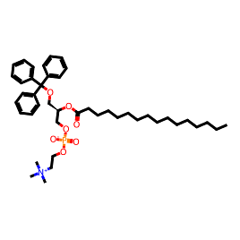 CCCCCCCCCCCCCCCC(=O)O[C@H](COC(c1ccccc1)(c1ccccc1)c1ccccc1)COP(=O)([O-])OCC[N+](C)(C)C